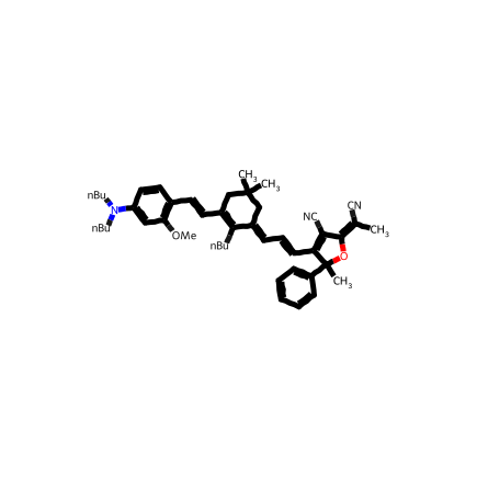 CCCCC1=C(/C=C/c2ccc(N(CCCC)CCCC)cc2OC)CC(C)(C)C/C1=C\C=C\C1=C(C#N)C(=C(/C)C#N)/OC1(C)c1ccccc1